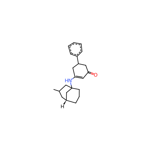 CC1C[C@H]2CCCC(NC3=CC(=O)CC(c4ccccc4)C3)(C1)C2